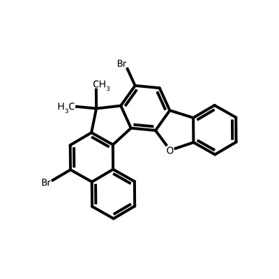 CC1(C)c2cc(Br)c3ccccc3c2-c2c1c(Br)cc1c2oc2ccccc21